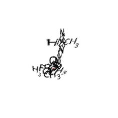 Cc1c(CN2CCC(n3c(=O)n(-c4ccc(F)cc4C(=O)N(C)C(C)C)c4cnccc43)CC2)ccc2[nH]c(C#N)cc12